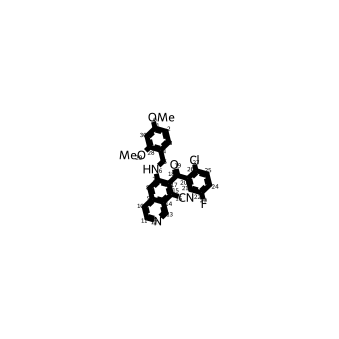 COc1ccc(CNc2cc3ccncc3c(C#N)c2C(=O)c2cc(F)ccc2Cl)c(OC)c1